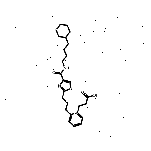 O=C(O)CCc1ccccc1CCCc1nc(C(=O)NCCCCC2CCCCC2)co1